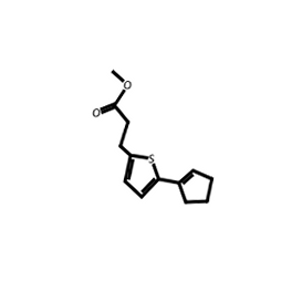 COC(=O)CCc1ccc(C2=CCCC2)s1